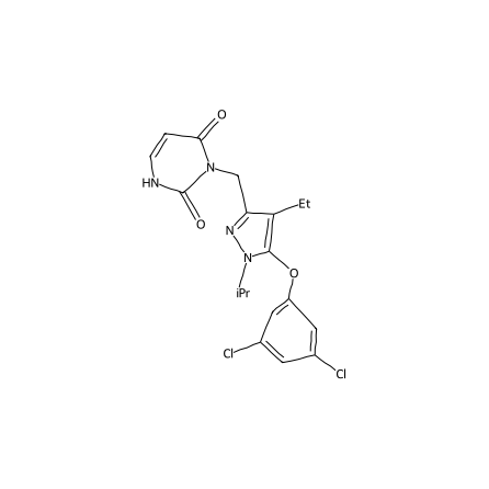 CCc1c(Cn2c(=O)cc[nH]c2=O)nn(C(C)C)c1Oc1cc(Cl)cc(Cl)c1